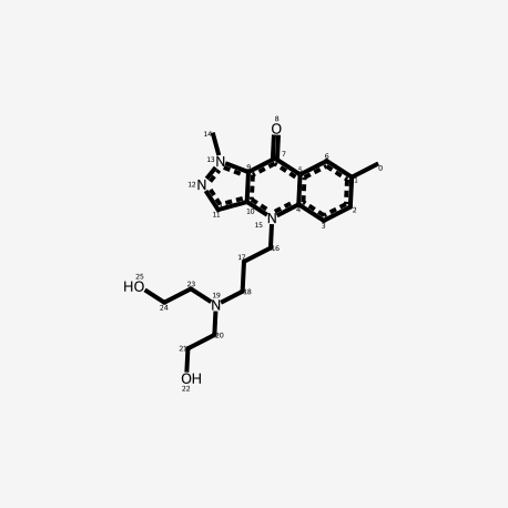 Cc1ccc2c(c1)c(=O)c1c(cnn1C)n2CCCN(CCO)CCO